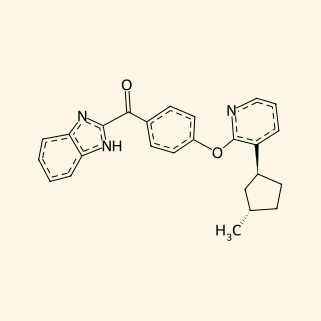 C[C@H]1CC[C@H](c2cccnc2Oc2ccc(C(=O)c3nc4ccccc4[nH]3)cc2)C1